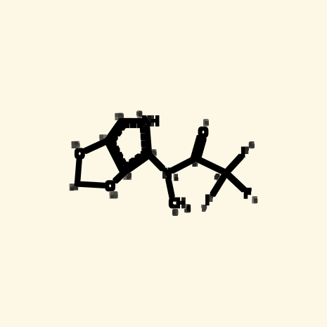 CN(C(=O)C(F)(F)F)c1[nH]cc2c1OCO2